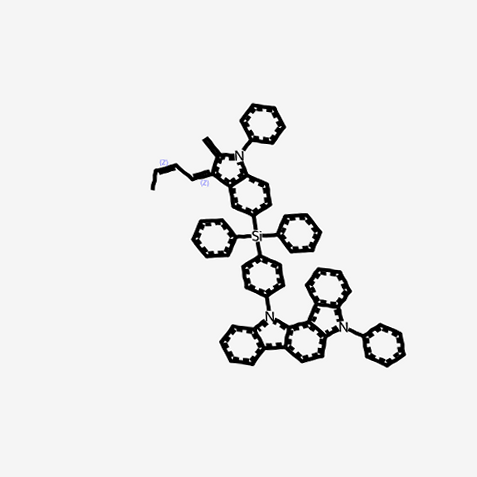 C=c1/c(=C\C=C/C)c2cc([Si](c3ccccc3)(c3ccccc3)c3ccc(-n4c5ccccc5c5ccc6c(c7ccccc7n6-c6ccccc6)c54)cc3)ccc2n1-c1ccccc1